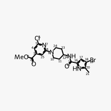 COC(=O)c1cc(Cl)nc(N2CCC(NC(=O)c3cc(Br)c(C)[nH]3)CC2)c1